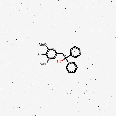 CCCc1c(OC)cc(CC(O)(c2ccccc2)c2ccccc2)cc1OC